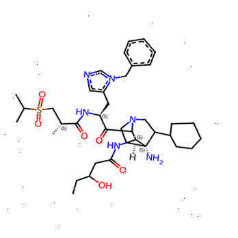 CCC(O)CC(=O)N[C@H]1C(C(=O)[C@H](Cc2cncn2Cc2ccccc2)NC(=O)[C@H](C)CS(=O)(=O)C(C)C)N2CC[C@]1(N)C(C1CCCCC1)C2